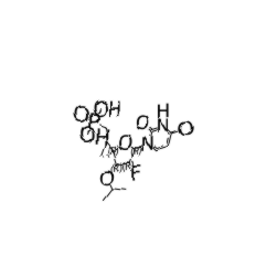 CC(C)O[C@H]1[C@@H](F)[C@H](n2ccc(=O)[nH]c2=O)O[C@@]12CC2CP(=O)(O)O